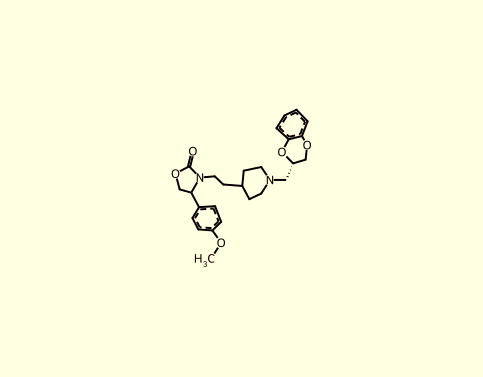 COc1ccc(C2COC(=O)N2CCC2CCN(C[C@H]3COc4ccccc4O3)CC2)cc1